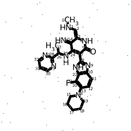 CN/C=C1/NC(=O)C(c2nc3ccc(N4CCCCC4)c(F)c3[nH]2)=C(NC(C)c2ncccn2)C1=N